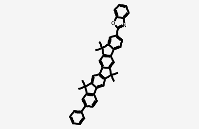 CC1(C)c2cc(-c3ccccc3)ccc2-c2cc3c(cc21)-c1cc2c(cc1C3(C)C)-c1ccc(-c3nc4ccccc4o3)cc1C2(C)C